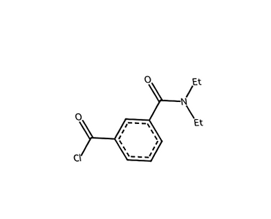 CCN(CC)C(=O)c1cccc(C(=O)Cl)c1